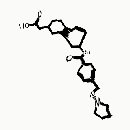 O=C(O)CC1CCc2ccc(NC(=O)c3ccc(C=NN4CCCC4)cc3)cc2C1